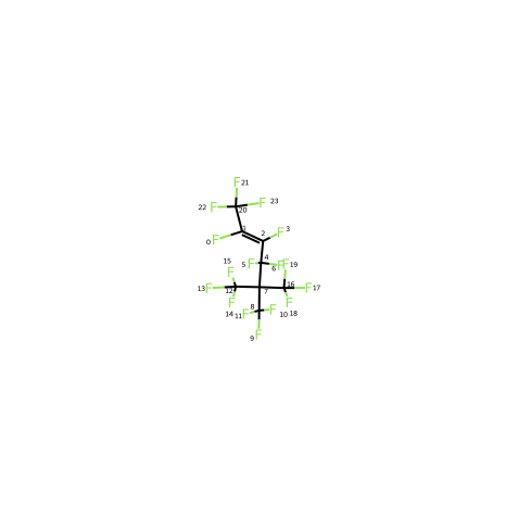 FC(=C(F)C(F)(F)C(C(F)(F)F)(C(F)(F)F)C(F)(F)F)C(F)(F)F